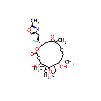 CC[C@H]1C(=O)C(C)(C)[C@@H](O)CC(=O)O[C@H](C(F)=Cc2coc(C)n2)CC2OC2(C)CCC[C@H](C)[C@@H]1O